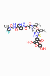 CC(C)(CNC(=O)CCC(=O)Nc1cccc2c(C(=O)NCC(=O)N3CC(F)(F)C[C@H]3C#N)ccnc12)COCC(C)(C)CNC(=S)Nc1ccc2c(c1)C(=O)OC21c2ccc(O)cc2Oc2cc(O)ccc21